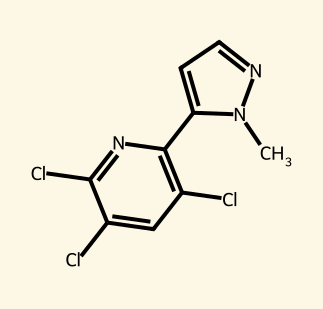 Cn1nccc1-c1nc(Cl)c(Cl)cc1Cl